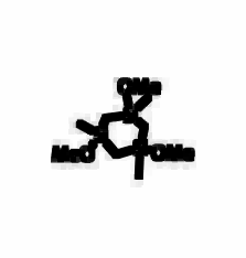 CO[Si]1(C)C[Si](C)(OC)C[Si](C)(OC)C1